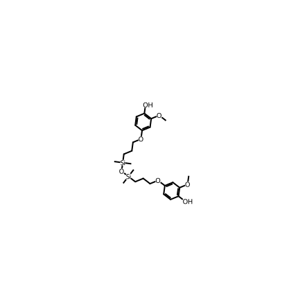 COc1cc(OCCC[Si](C)(C)O[Si](C)(C)CCCOc2ccc(O)c(OC)c2)ccc1O